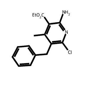 CCOC(=O)c1c(N)nc(Cl)c(Cc2ccccc2)c1C